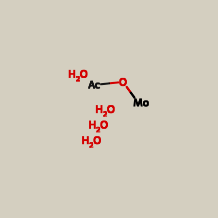 CC(=O)[O][Mo].O.O.O.O